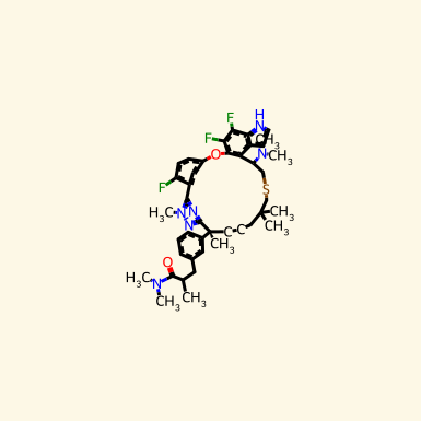 CC(Cc1cccc([C@@]2(C)CCCC(C)(C)CSCC(N(C)C)c3c(c(F)c(F)c4[nH]ccc34)Oc3ccc(F)c(c3)-c3nc2nn3C)c1)C(=O)N(C)C